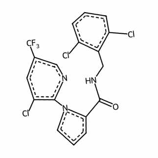 O=C(NCc1c(Cl)cccc1Cl)c1cccn1-c1ncc(C(F)(F)F)cc1Cl